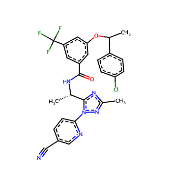 Cc1nc([C@H](C)NC(=O)c2cc(OC(C)c3ccc(Cl)cc3)cc(C(F)(F)F)c2)n(-c2ccc(C#N)cn2)n1